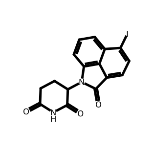 O=C1CCC(N2C(=O)c3ccc(I)c4cccc2c34)C(=O)N1